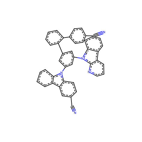 N#Cc1ccc(-c2ccccc2-c2cc(-n3c4ccccc4c4cc(C#N)ccc43)cc(-n3c4ccccc4c4cccnc43)c2)cc1